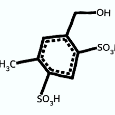 Cc1cc(CO)c(S(=O)(=O)O)cc1S(=O)(=O)O